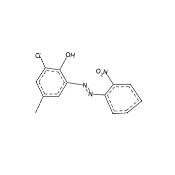 Cc1cc(Cl)c(O)c(N=Nc2ccccc2[N+](=O)[O-])c1